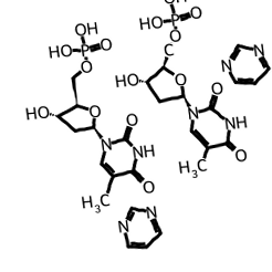 Cc1cn([C@H]2C[C@H](O)[C@@H](COP(=O)(O)O)O2)c(=O)[nH]c1=O.Cc1cn([C@H]2C[C@H](O)[C@@H](COP(=O)(O)O)O2)c(=O)[nH]c1=O.c1cncnc1.c1cncnc1